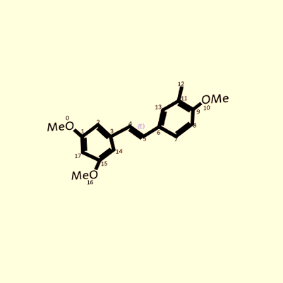 COc1cc(/C=C/c2ccc(OC)c(C)c2)cc(OC)c1